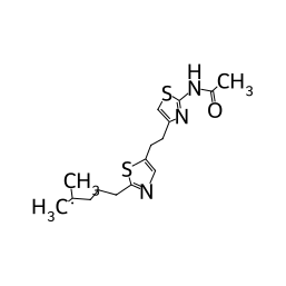 C[C](C)CCCc1ncc(CCc2csc(NC(C)=O)n2)s1